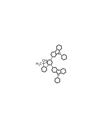 CC1(C)c2ccccc2-c2c(-c3ccc4c(c3)c3ccccc3n4-c3ccccc3)cc(-c3ccc4c5ccccc5n(-c5ccccc5)c4c3)cc21